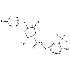 C[C@@H]1CN(Cc2ccc(F)cc2)[C@@H](C)CN1C(=O)/C=C/c1ccc(Cl)c(C(F)(F)F)c1